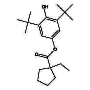 CCC1(C(=O)Oc2cc(C(C)(C)C)c(O)c(C(C)(C)C)c2)CCCC1